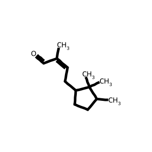 CC(C=O)=CCC1CCC(C)C1(C)C